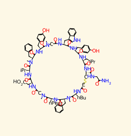 CCCCC[C@H]1C(=O)N(C)CC(=O)N[C@@H](CC(=O)O)C(=O)N[C@@H](C(C)C)C(=O)N(C)[C@@H](Cc2ccccc2)C(=O)N[C@@H](Cc2ccc(O)cc2)C(=O)N(C)CC(=O)N[C@@H](Cc2c[nH]c3ccccc23)C(=O)N[C@@H](Cc2ccc(O)cc2)C(=O)N[C@@H](CC(C)C)C(=O)N[C@H](C(=O)NCC(N)=O)CSCC(=O)N[C@@H](CCCC)C(=O)N(C)[C@@H](Cc2ccccc2)C(=O)N1C